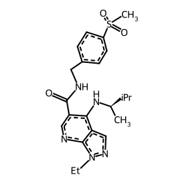 CCn1ncc2c(N[C@H](C)C(C)C)c(C(=O)NCc3ccc(S(C)(=O)=O)cc3)cnc21